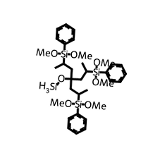 CO[Si](OC)(c1ccccc1)C(C)CC(CC(C)[Si](OC)(OC)c1ccccc1)(CC(C)[Si](OC)(OC)c1ccccc1)O[SiH3]